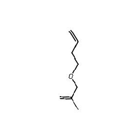 C=CCCOCC(=C)C